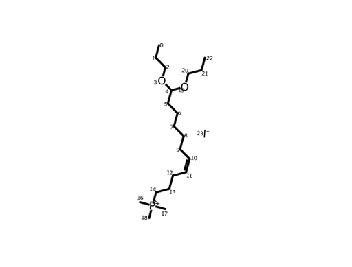 CCCOC(CCCCC/C=C\CCC[P+](C)(C)C)OCCC.[I-]